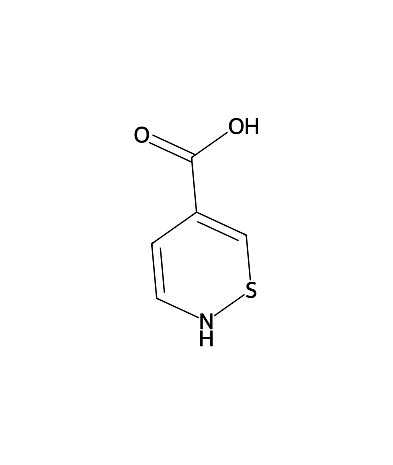 O=C(O)C1=CSNC=C1